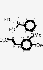 CCOC(=O)C(c1ccccc1)C(F)(F)F.COc1ccc(C=CC(=O)O)cc1OC